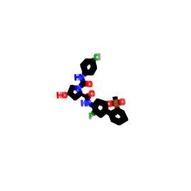 CS(=O)(=O)c1ccccc1-c1ccc(NC(=O)[C@H]2C[C@@H](O)CN2C(=O)Nc2ccc(Cl)cc2)c(F)c1